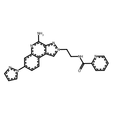 Nc1nc2cc(-n3cccn3)ccc2c2cn(CCNC(=O)c3ccccn3)nc12